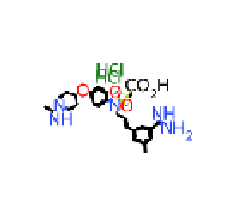 CC(=N)N1CCC(Oc2ccc(N(C/C=C/c3cc(C)cc(C(=N)N)c3)S(=O)(=O)CC(=O)O)cc2)CC1.Cl.Cl